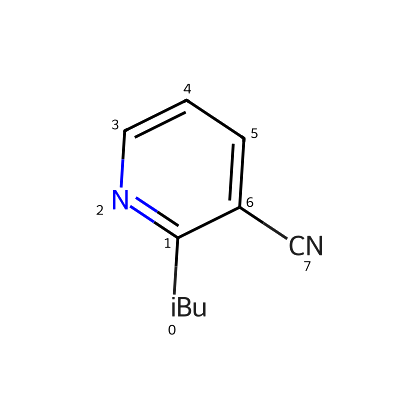 [CH2]C(CC)c1ncccc1C#N